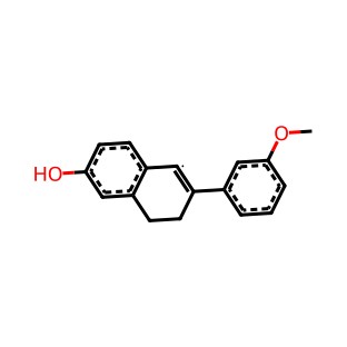 COc1cccc(C2=[C]c3ccc(O)cc3CC2)c1